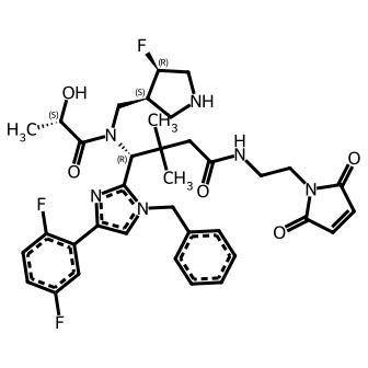 C[C@H](O)C(=O)N(C[C@@H]1CNC[C@@H]1F)[C@@H](c1nc(-c2cc(F)ccc2F)cn1Cc1ccccc1)C(C)(C)CC(=O)NCCN1C(=O)C=CC1=O